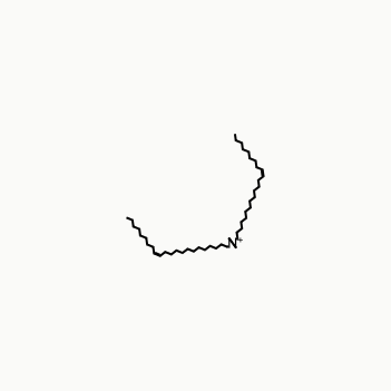 CCCCCCCC/C=C\CCCCCCCCCCCC[N+](C)(C)CCCCCCCCCCCC/C=C\CCCCCCCC